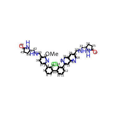 COc1nc(-c2cccc(-c3cccc(-c4cc5ncc(CNC[C@H]6CCC(=O)N6)cc5cn4)c3Cl)c2Cl)ccc1CNC[C@H]1CCC(=O)N1